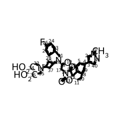 Cn1cc(-c2ccc3c(c2)CC[C@@]32OC(=O)N(CC(=O)N(Cc3ccc(F)cc3)C3CC(N(CC(=O)O)CC(=O)O)C3)C2=O)cn1